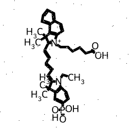 CCN1\C(=C/C=C/C=C/C2=[N+](CCCCCC(=O)O)c3ccc4ccccc4c3C2(C)C)C(C)(C)c2cc(P(=O)(O)O)ccc21